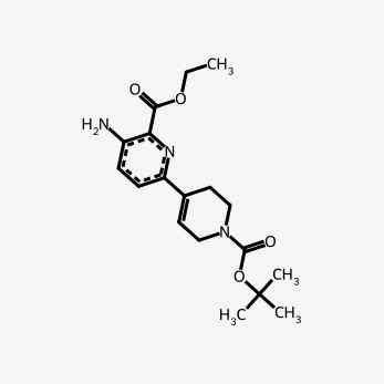 CCOC(=O)c1nc(C2=CCN(C(=O)OC(C)(C)C)CC2)ccc1N